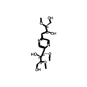 CO[C@@H](CO)[C@@H](O)[C@@H](OC)c1cnc(C[C@H](O)[C@H](CO)OC)cn1